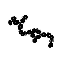 c1ccc(-c2nc3ccc4ccc(-c5ccc(N(c6ccc7sc8ccccc8c7c6)c6ccc7c8ccccc8n(-c8ccc(-c9cccc(-c%10nc%11c(ccc%12ccc(-c%13ccc(N(c%14ccc%15c(c%14)oc%14ccccc%14%15)c%14ccc%15c(c%14)c%14ccccc%14n%15-c%14ccccc%14)cc%13)cc%12%11)o%10)c9)cc8)c7c6)cc5)cc4c3o2)cc1